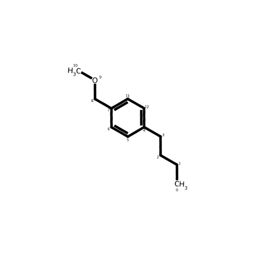 CCCCc1ccc(COC)cc1